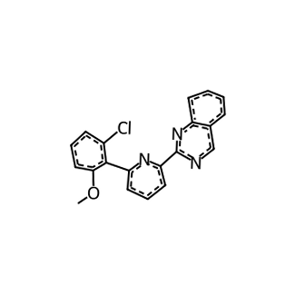 COc1cccc(Cl)c1-c1cccc(-c2ncc3ccccc3n2)n1